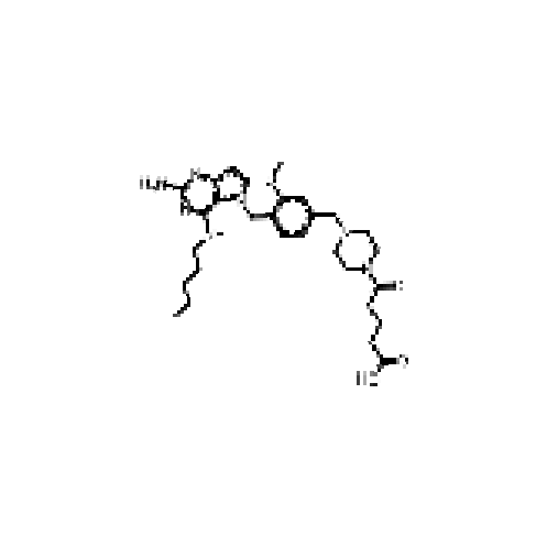 CCCCCNc1nc(N)nc2ccn(Cc3ccc(CN4CCN(C(=O)CCCC(=O)O)CC4)cc3OC)c12